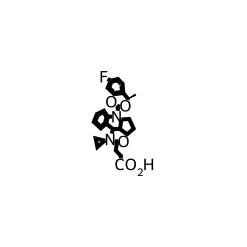 C[C@@H](OC(=O)N1c2ccccc2C(N(C(=O)CCC(=O)O)C2CC2)C2CCCC21)c1ccc(F)cc1